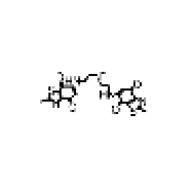 Cc1nc2c(s1)C(=O)C(NCCN(C)CCNC1=CC(=O)c3nc(C)sc3C1=O)=CC2=O